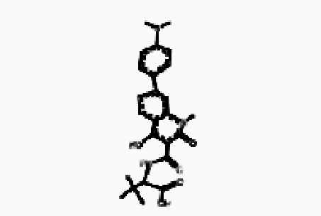 CN(C)c1ccc(-c2ccc3c(O)c(C(=O)NC(C(=O)O)C(C)(C)C)c(=O)n(C)c3c2)cc1